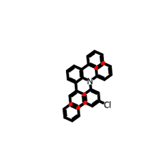 Clc1cc(-c2ccccc2)cc(N(c2ccccc2)c2c(-c3ccccc3)cccc2-c2ccccc2)c1